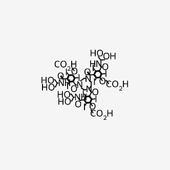 O=C(O)COc1c(I)c(C(=O)NC(CO)CO)c(I)c(C(=O)N2CCN(C(=O)c3c(I)c(OCC(=O)O)c(I)c(C(=O)NC(CO)CO)c3I)CCN(C(=O)c3c(I)c(OCC(=O)O)c(I)c(C(=O)NC(CO)CO)c3I)CC2)c1I